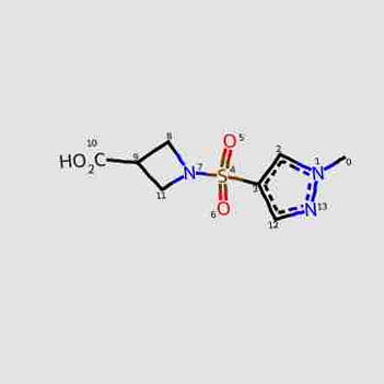 Cn1cc(S(=O)(=O)N2CC(C(=O)O)C2)cn1